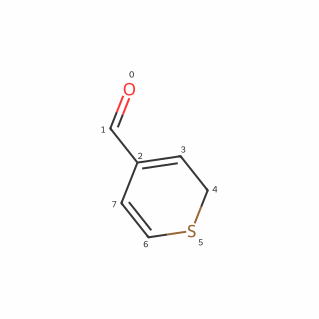 O=CC1=CCSC=C1